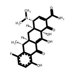 C[C@H]1c2c(F)ccc(O)c2C(=O)C2=C(O)[C@]3(O)C(=O)C(C(N)=O)=C[C@@H](N(C)C)[C@@H]3C[C@@H]21